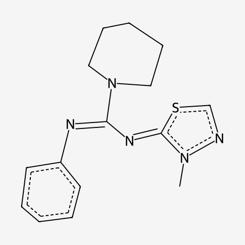 Cn1ncsc1=NC(=Nc1ccccc1)N1CCCCC1